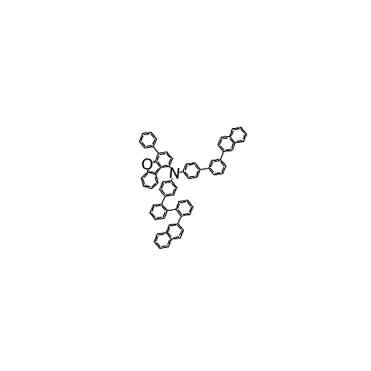 c1ccc(-c2ccc(N(c3ccc(-c4cccc(-c5ccc6ccccc6c5)c4)cc3)c3ccc(-c4ccccc4-c4ccccc4-c4ccc5ccccc5c4)cc3)c3c2oc2ccccc23)cc1